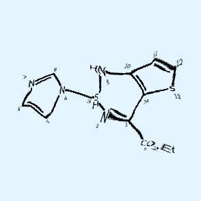 CCOC(=O)C1=N[SH](n2ccnc2)Nc2ccsc21